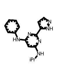 CC(C)Nc1cc(Nc2ccccc2)nc(-c2ccn[nH]2)n1